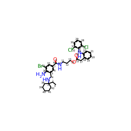 CCC1(NCc2cc(C(=O)NCCCOC(=O)Cc3ccccc3Nc3c(Cl)cccc3Cl)cc(Br)c2N)CCCCC1